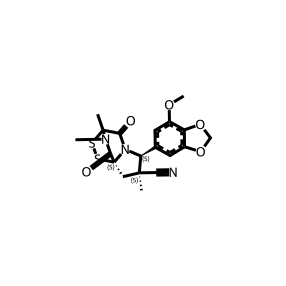 COc1cc([C@@H]2N3C(=O)C4(C)SS[C@@]3(C[C@]2(C)C#N)C(=O)N4C)cc2c1OCO2